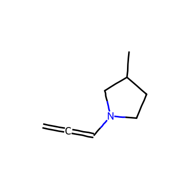 C=C=CN1CCC(C)C1